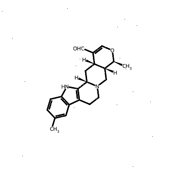 Cc1ccc2[nH]c3c(c2c1)CCN1C[C@H]2[C@H](C)OC=C(C=O)[C@H]2C[C@@H]31